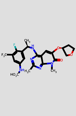 Cc1nc(N[C@H](C)c2cc(NC(=O)O)cc(C(F)(F)F)c2F)c2cc(O[C@H]3CCOC3)c(=O)n(C)c2n1